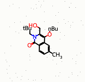 CCCCOc1c(CO)n(CC(C)(C)C)c(=O)c2ccc(C)cc12